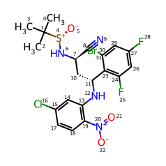 CC(C)(C)[S@@+]([O-])N[C@@H](C#N)C[C@@H](Nc1cc(Cl)ccc1[N+](=O)[O-])c1c(F)cc(F)cc1Br